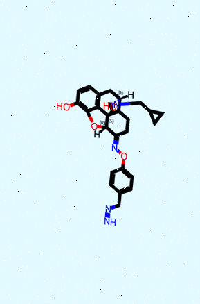 N=NCc1ccc(ON=C2CCC3(O)[C@H]4Cc5ccc(O)c6c5[C@@]3(CCN4CC3CC3)[C@H]2O6)cc1